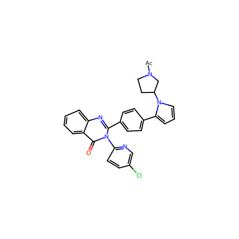 CC(=O)N1CCC(n2cccc2-c2ccc(-c3nc4ccccc4c(=O)n3-c3ccc(Cl)cn3)cc2)C1